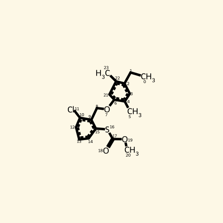 CCc1cc(C)c(OCc2c(Cl)cccc2SC(=O)OC)cc1C